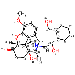 COc1ccc2c3c1O[C@H]1C(=O)CC[C@@]4(O)[C@@H](C2)N(C)CC[C@]314.OC[C@@H]1CCCC[C@@H]1CO